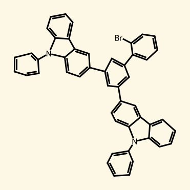 Brc1ccccc1-c1cc(-c2ccc3c(c2)c2ccccc2n3-c2ccccc2)cc(-c2ccc3c(c2)c2ccccc2n3-c2ccccc2)c1